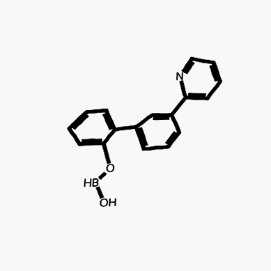 OBOc1ccccc1-c1cccc(-c2ccccn2)c1